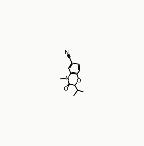 CC(C)C1Oc2ccc(C#N)cc2N(C)C1=O